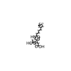 O=C(O)CNC(=O)[C@H](CC(=O)O)NC(=O)CCCC[C@@H]1CCSS1